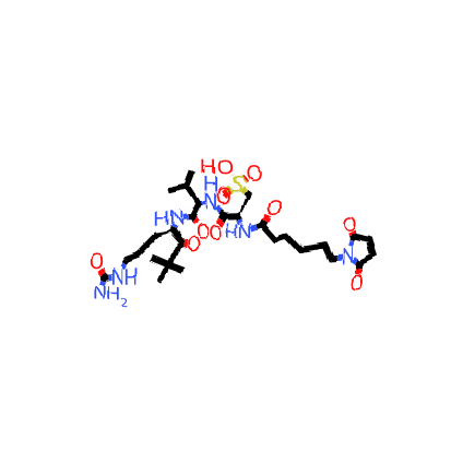 CC(C)[C@@H](NC(=O)[C@@H](CS(=O)(=O)O)NC(=O)CCCCCN1C(=O)C=CC1=O)C(=O)N[C@H](CCCNC(N)=O)C(=O)C(C)(C)C